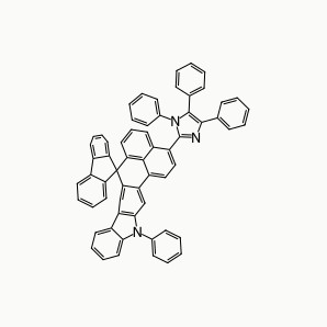 c1ccc(-c2nc(-c3ccc4c5c(cccc35)C3(c5ccccc5-c5ccccc53)c3cc5c6ccccc6n(-c6ccccc6)c5cc3-4)n(-c3ccccc3)c2-c2ccccc2)cc1